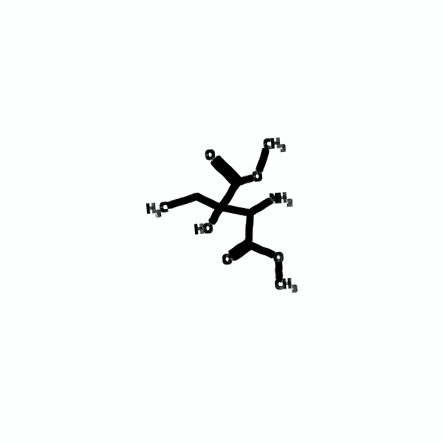 CCC(O)(C(=O)OC)C(N)C(=O)OC